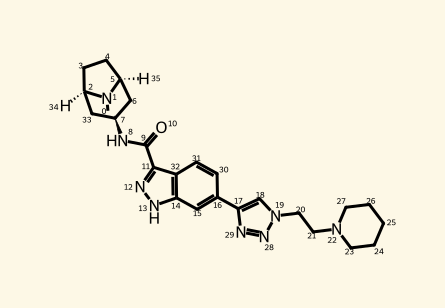 CN1[C@@H]2CC[C@H]1C[C@@H](NC(=O)c1n[nH]c3cc(-c4cn(CCN5CCCCC5)nn4)ccc13)C2